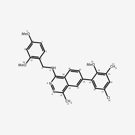 COc1ccc(CNc2nnc(C)c3cc(-c4cc(Cl)cc(C)c4OC)ccc23)c(OC)c1